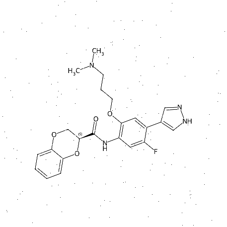 CN(C)CCCOc1cc(-c2cn[nH]c2)c(F)cc1NC(=O)[C@@H]1COc2ccccc2O1